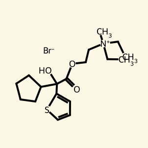 CC[N+](C)(CC)CCOC(=O)C(O)(c1cccs1)C1CCCC1.[Br-]